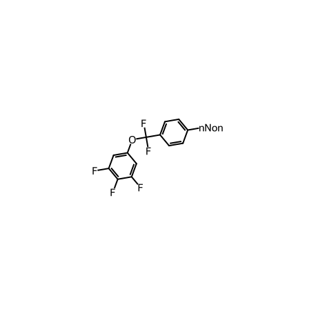 CCCCCCCCCc1ccc(C(F)(F)Oc2cc(F)c(F)c(F)c2)cc1